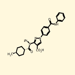 CC(C)N(c1nn(-c2ccc(C(=O)Nc3ccccc3)cc2)cc1C(=O)O)C(=O)[C@H]1CC[C@H](C)CC1